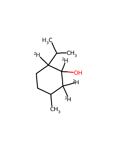 [2H]C1([2H])C(C)CCC([2H])(C(C)C)C1([2H])O